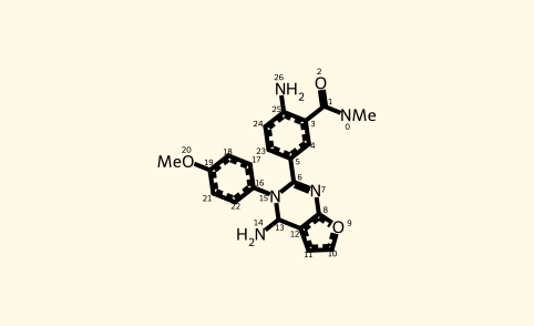 CNC(=O)c1cc(C2=Nc3occc3C(N)N2c2ccc(OC)cc2)ccc1N